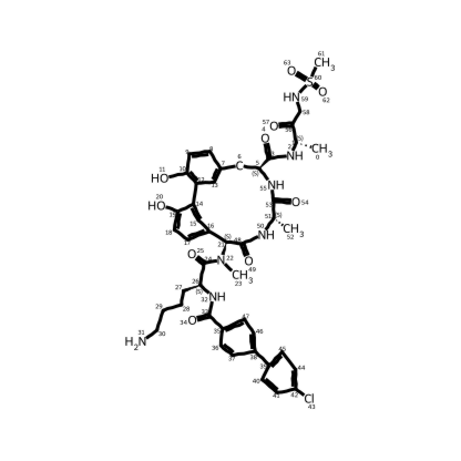 C[C@H](NC(=O)[C@@H]1Cc2ccc(O)c(c2)-c2cc(ccc2O)[C@H](N(C)C(=O)[C@H](CCCCN)NC(=O)c2ccc(-c3ccc(Cl)cc3)cc2)C(=O)N[C@@H](C)C(=O)N1)C(=O)CNS(C)(=O)=O